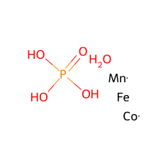 O.O=P(O)(O)O.[Co].[Fe].[Mn]